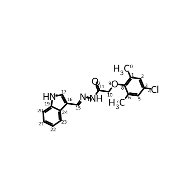 Cc1cc(Cl)cc(C)c1OCC(=O)N/N=C/c1c[nH]c2ccccc12